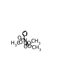 CCOP(=O)(OCC)ON=C(C(=O)OC)c1ccccc1